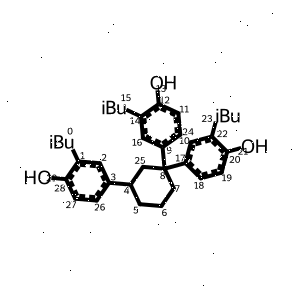 CCC(C)c1cc(C2CCCC(c3ccc(O)c(C(C)CC)c3)(c3ccc(O)c(C(C)CC)c3)C2)ccc1O